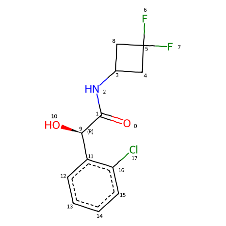 O=C(NC1CC(F)(F)C1)[C@H](O)c1ccccc1Cl